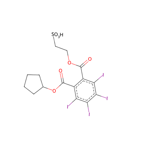 O=C(OCCS(=O)(=O)O)c1c(I)c(I)c(I)c(I)c1C(=O)OC1CCCC1